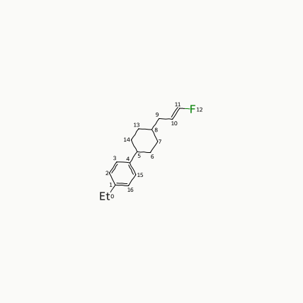 CCc1ccc(C2CCC(C/C=C/F)CC2)cc1